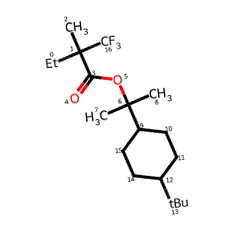 CCC(C)(C(=O)OC(C)(C)C1CCC(C(C)(C)C)CC1)C(F)(F)F